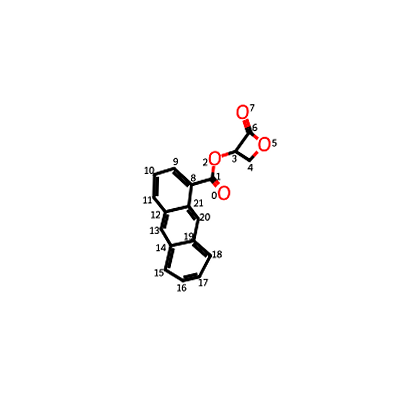 O=C(OC1COC1=O)c1cccc2cc3ccccc3cc12